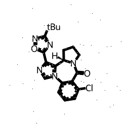 CC(C)(C)c1noc(-c2ncn3c2[C@@H]2CCCN2C(=O)c2c(Cl)cccc2-3)n1